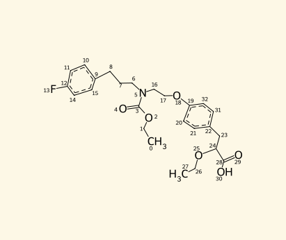 CCOC(=O)N(CCCc1ccc(F)cc1)CCOc1ccc(CC(OCC)C(=O)O)cc1